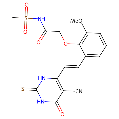 COc1cccc(C=Cc2[nH]c(=S)[nH]c(=O)c2C#N)c1OCC(=O)NS(C)(=O)=O